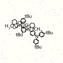 CC(C)(C)c1ccc(N(C2=COC3(C)CCCCC23C)c2cc(C(C)(C)C)cc(N3c4ccc(N(c5ccc(C(C)(C)C)cc5)c5ccc(C(C)(C)C)cc5)cc4C4(C)CCCCC34C)c2Cl)cc1